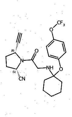 C#C[C@H]1CC[C@@H](C#N)N1C(=O)CNC1(Oc2ccc(OC(F)(F)F)cc2)CCCCC1